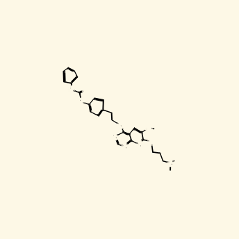 COc1cc2c(NCCc3ccc(NC(=O)Nc4ccccc4)cc3)ncnc2nc1OCCCN(C)C